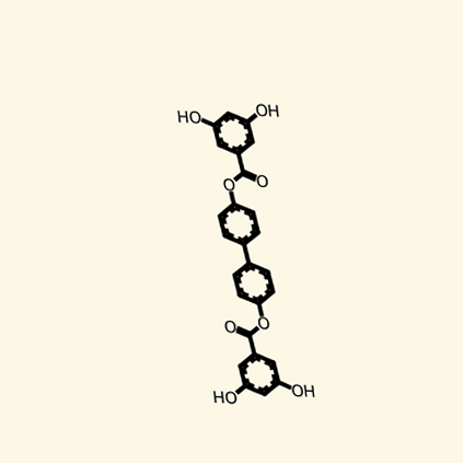 O=C(Oc1ccc(-c2ccc(OC(=O)c3cc(O)cc(O)c3)cc2)cc1)c1cc(O)cc(O)c1